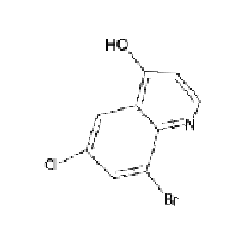 Oc1ccnc2c(Br)cc(Cl)cc12